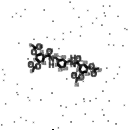 CC(=O)Oc1cc(OC(C)=O)cc(C(=O)NCc2cccc(CNC(=O)c3cc(OC(C)=O)cc(OC(C)=O)c3)c2)c1